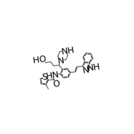 Cc1ccsc1C(=O)Nc1ccc(/C=C/c2n[nH]c3ccccc23)cc1C(CCCO)N1CCNCC1